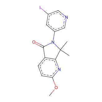 COc1ccc2c(n1)C(C)(C)N(c1cncc(I)c1)C2=O